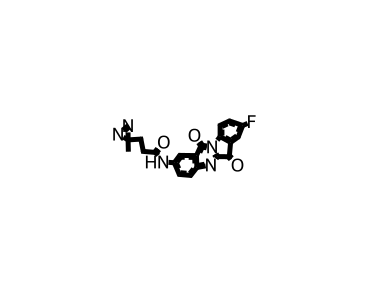 CC1(CCC(=O)Nc2ccc3nc4n(c(=O)c3c2)-c2ccc(F)cc2C4=O)N=N1